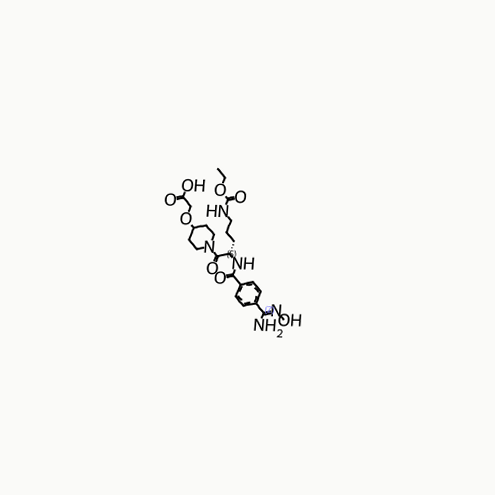 CCOC(=O)NCCC[C@H](NC(=O)c1ccc(/C(N)=N/O)cc1)C(=O)N1CCC(OCC(=O)O)CC1